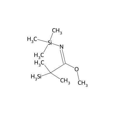 CO/C(=N/[Si](C)(C)C)C(C)(C)[SiH3]